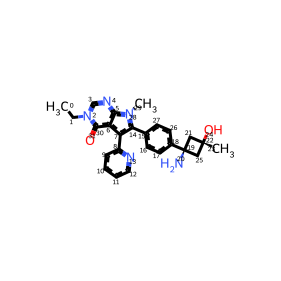 CCn1cnc2c(c(-c3ccccn3)c(-c3ccc([C@]4(N)C[C@](C)(O)C4)cc3)n2C)c1=O